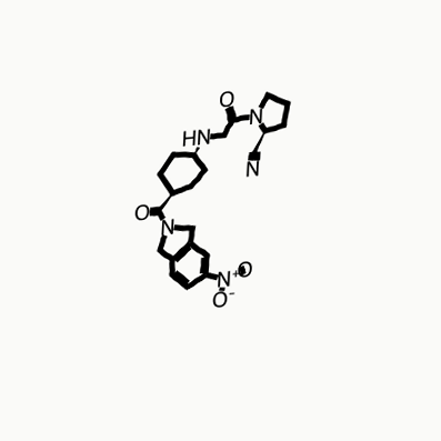 N#C[C@@H]1CCCN1C(=O)CN[C@H]1CC[C@H](C(=O)N2Cc3ccc([N+](=O)[O-])cc3C2)CC1